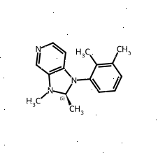 Cc1cccc(N2c3ccncc3N(C)[C@@H]2C)c1C